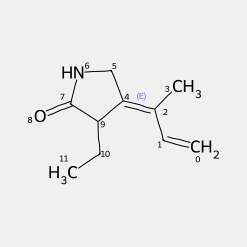 C=C/C(C)=C1/CNC(=O)C1CC